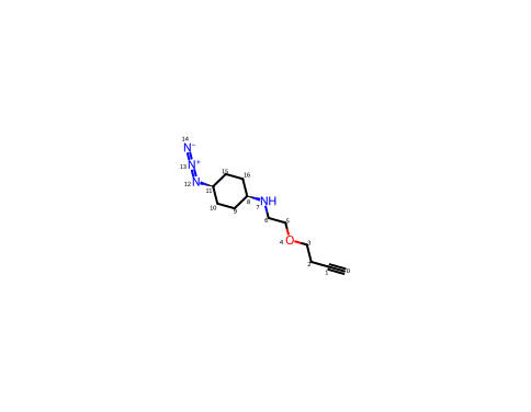 C#CCCOCCN[C@H]1CC[C@@H](N=[N+]=[N-])CC1